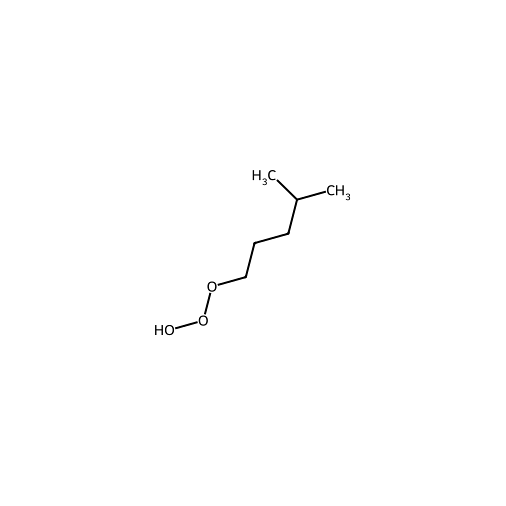 CC(C)CCCOOO